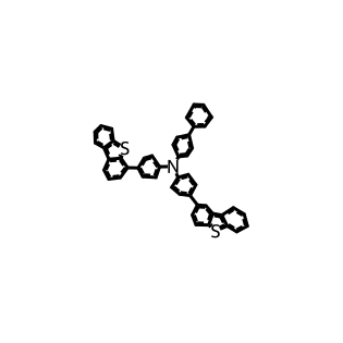 c1ccc(-c2ccc(N(c3ccc(-c4ccc5sc6ccccc6c5c4)cc3)c3ccc(-c4cccc5c4sc4ccccc45)cc3)cc2)cc1